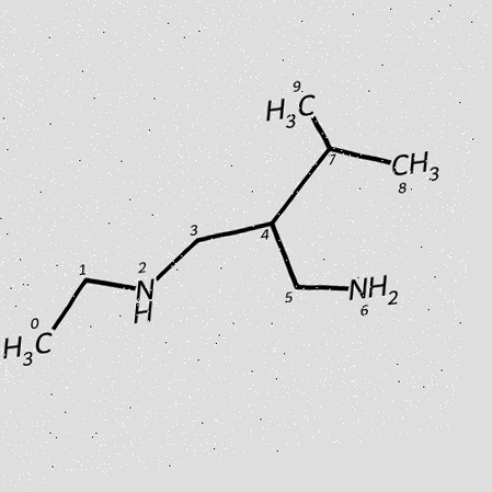 CCNCC(CN)C(C)C